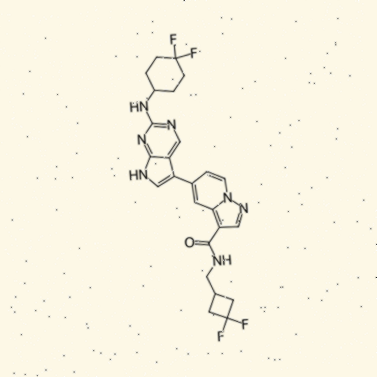 O=C(NCC1CC(F)(F)C1)c1cnn2ccc(-c3c[nH]c4nc(NC5CCC(F)(F)CC5)ncc34)cc12